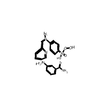 CC(=O)N(Cc1ccccn1)c1ccc([As](=O)(O)OO)cc1.NC(=O)c1cccc(N)c1